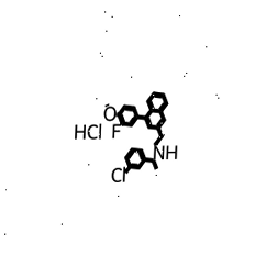 COc1ccc(-c2cc(CCNC(C)c3cccc(Cl)c3)cc3ccccc23)cc1F.Cl